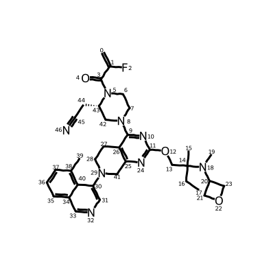 C=C(F)C(=O)N1CCN(c2nc(OCC(C)(CC)N(C)C3COC3)nc3c2CCN(c2cncc4cccc(C)c24)C3)C[C@@H]1CC#N